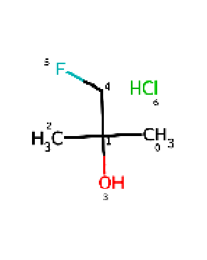 CC(C)(O)CF.Cl